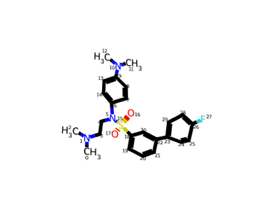 CN(C)CCN(c1ccc(N(C)C)cc1)S(=O)(=O)c1cccc(-c2ccc(F)cc2)c1